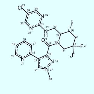 C[C@@H]1CC(F)(F)CN(C(=O)c2nn(C)cc2-c2ccccn2)C1CNc1ncc(Cl)cn1